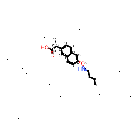 CCCCNOc1ccc2cc([C@H](C)C(=O)O)ccc2c1